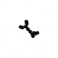 c1ccc2cc(-c3cc(-c4ccc(-c5ccc(-c6nc7ccccc7c7c6ccc6c8ccccc8oc67)cc5)cc4)nc(-c4ccc5ccccc5c4)n3)ccc2c1